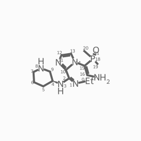 CC/N=C(/N[C@H]1CCCNC1)c1nccn1/C(=C/N)P(C)(C)=O